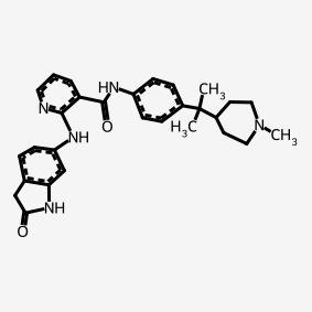 CN1CCC(C(C)(C)c2ccc(NC(=O)c3cccnc3Nc3ccc4c(c3)NC(=O)C4)cc2)CC1